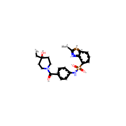 CNc1nc2c(S(=O)(=O)Nc3ccc(C(=O)N4CCC(O)(CC(C)C)CC4)cc3)cccc2s1